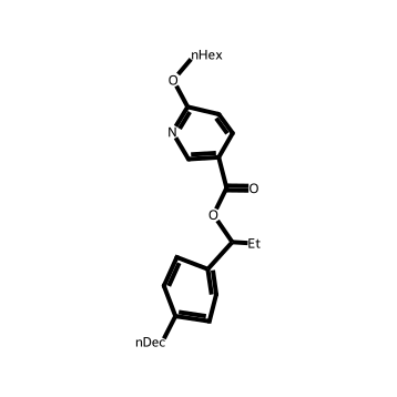 CCCCCCCCCCc1ccc(C(CC)OC(=O)c2ccc(OCCCCCC)nc2)cc1